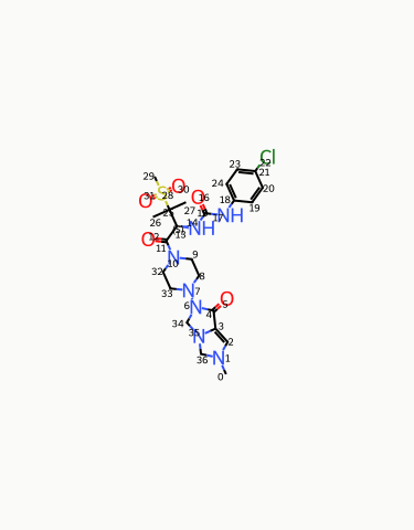 CN1C=C2C(=O)N(N3CCN(C(=O)[C@H](NC(=O)Nc4ccc(Cl)cc4)C(C)(C)S(C)(=O)=O)CC3)CN2C1